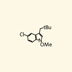 COn1cc(CC(C)(C)C)c2cc(Cl)ccc21